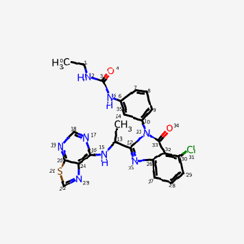 CCNC(=O)Nc1cccc(-n2c(C(C)Nc3ncnc4scnc34)nc3cccc(Cl)c3c2=O)c1